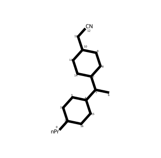 CCCC1CCC(C(C)C2CCC(CC#N)CC2)CC1